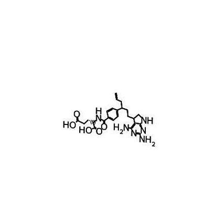 C=CCC(CCC1CNc2nc(N)nc(N)c21)c1ccc(C(=O)N[C@@H](CCC(=O)O)C(=O)O)cc1